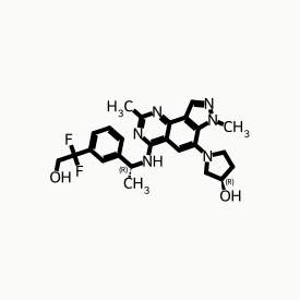 Cc1nc(N[C@H](C)c2cccc(C(F)(F)CO)c2)c2cc(N3CC[C@@H](O)C3)c3c(cnn3C)c2n1